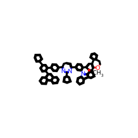 CC1CC(c2ccc(C3=C=CC/C(c4ccc(-c5cc(-c6ccccc6)ccc5-c5cc6ccccc6c6ccccc56)cc4)=N\C(c4ccccc4)=N/3)cc2-n2c3ccccc3c3ccccc32)=CC2=C1OCCc1ccccc12